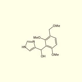 COCc1ccc(OC)c(C(O)c2c[nH]cn2)c1OC